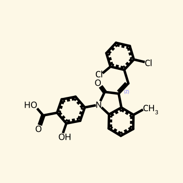 Cc1cccc2c1/C(=C/c1c(Cl)cccc1Cl)C(=O)N2c1ccc(C(=O)O)c(O)c1